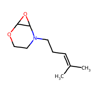 CC(C)=CCCN1CCOC2OC21